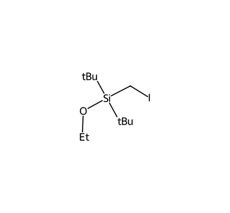 CCO[Si](CI)(C(C)(C)C)C(C)(C)C